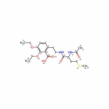 CCOc1ccc(CCNC(=O)C(CCSC)NC(C)=O)c(C(=O)O)c1OCC